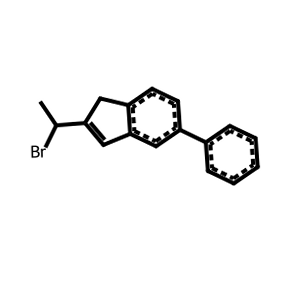 CC(Br)C1=Cc2cc(-c3ccccc3)ccc2C1